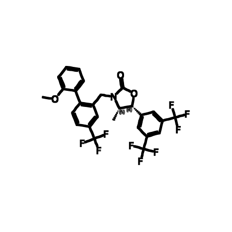 COc1ccccc1-c1ccc(C(F)(F)F)cc1CN1C(=O)O[C@H](c2cc(C(F)(F)F)cc(C(F)(F)F)c2)[C@@H]1C